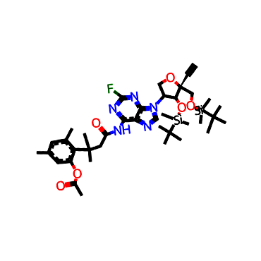 C#C[C@]1(CO[Si](C)(C)C(C)(C)C)OCC(n2cnc3c(NC(=O)CC(C)(C)c4c(C)cc(C)cc4OC(C)=O)nc(F)nc32)C1O[Si](C)(C)C(C)(C)C